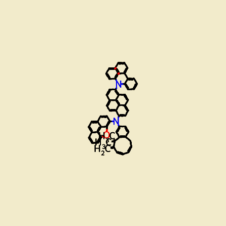 C=C1/C=C\C=C/Cc2ccc(N(c3ccc4ccc5c(N(c6ccccc6)c6ccccc6-c6ccccc6)ccc6ccc3c4c65)c3ccc4ccc5cccc6oc3c4c56)cc2C1(C)C